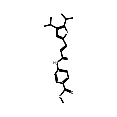 COC(=O)c1ccc(NC(=O)C=Cc2cc(C(C)C)c(C(C)C)s2)cc1